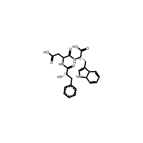 O=C(O)CC(NC(=O)[C@@H](S)Cc1ccccc1)C(=O)N[C@@H](CC1=CNC2C=CC=CC12)C(=O)O